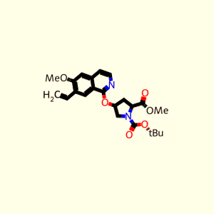 C=Cc1cc2c(OC3CC(C(=O)OC)N(C(=O)OC(C)(C)C)C3)nccc2cc1OC